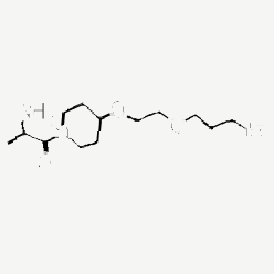 CC(C)CCCOCCOC1CCN(C(=O)C(C)N)CC1